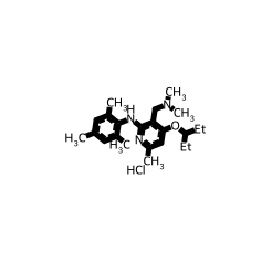 CCC(CC)Oc1cc(C)nc(Nc2c(C)cc(C)cc2C)c1CN(C)C.Cl